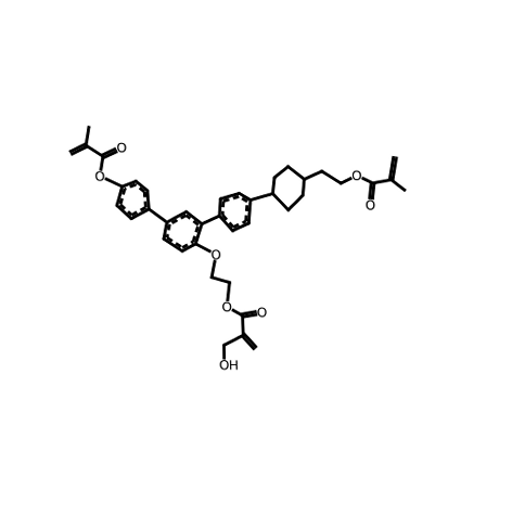 C=C(C)C(=O)OCCC1CCC(c2ccc(-c3cc(-c4ccc(OC(=O)C(=C)C)cc4)ccc3OCCOC(=O)C(=C)CO)cc2)CC1